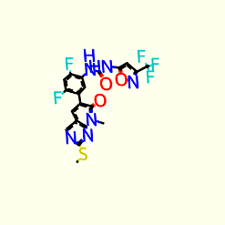 CSc1ncc2cc(-c3cc(NC(=O)Nc4cc(C(F)(F)F)no4)c(F)cc3F)c(=O)n(C)c2n1